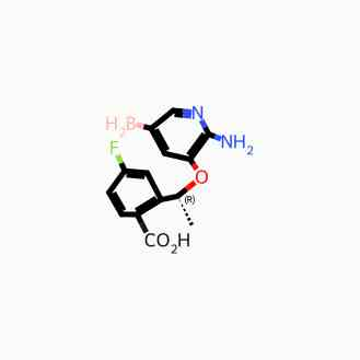 Bc1cnc(N)c(O[C@H](C)c2cc(F)ccc2C(=O)O)c1